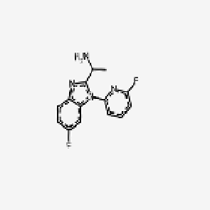 CC(N)c1nc2ccc(F)cc2n1-c1cccc(F)n1